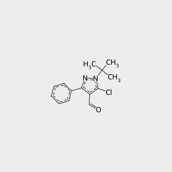 CC(C)(C)n1nc(-c2ccccc2)c(C=O)c1Cl